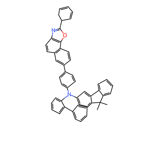 CC1(C)c2ccccc2-c2cc(N(c3ccc(-c4ccc5c(ccc6nc(C7C=CC=CC7)oc65)c4)cc3)c3ccccc3-c3ccccc3)ccc21